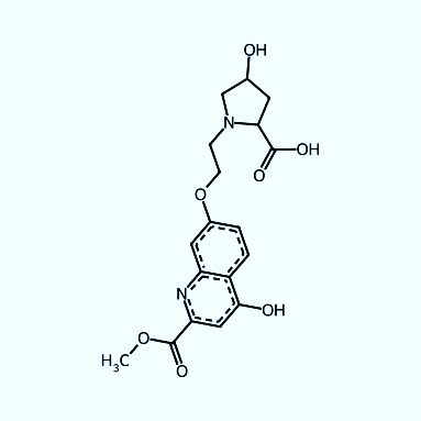 COC(=O)c1cc(O)c2ccc(OCCN3CC(O)CC3C(=O)O)cc2n1